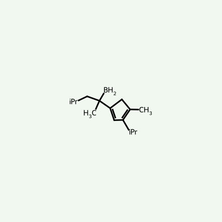 BC(C)(CC(C)C)C1=CC(C(C)C)=C(C)C1